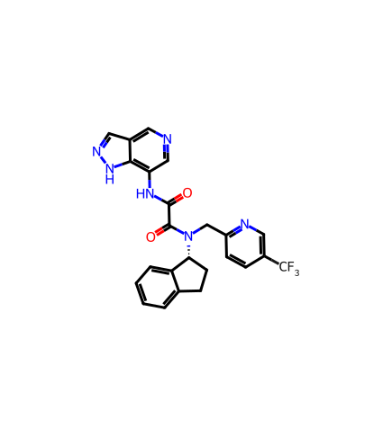 O=C(Nc1cncc2cn[nH]c12)C(=O)N(Cc1ccc(C(F)(F)F)cn1)[C@@H]1CCc2ccccc21